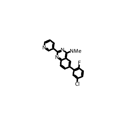 CNc1nc(-c2cccnc2)nc2ccc(-c3cc(Cl)ccc3F)cc12